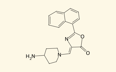 NC1CCN(C=C2N=C(c3cccc4ccccc34)OC2=O)CC1